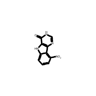 O=c1[nH]cnc2c1[nH]c1cccc([N+](=O)[O-])c12